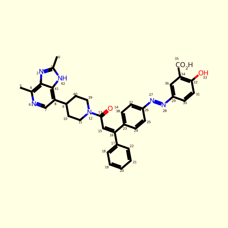 Cc1nc2c(C)ncc(C3CCN(C(=O)C=C(c4ccccc4)c4ccc(N=Nc5ccc(O)c(C(=O)O)c5)cc4)CC3)c2[nH]1